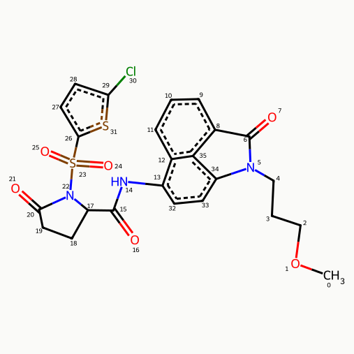 COCCCN1C(=O)c2cccc3c(NC(=O)C4CCC(=O)N4S(=O)(=O)c4ccc(Cl)s4)ccc1c23